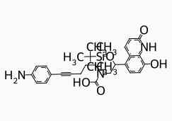 CC(C)(C)[Si](C)(C)OC(CN(CCCC#Cc1ccc(N)cc1)C(=O)O)c1ccc(O)c2[nH]c(=O)ccc12